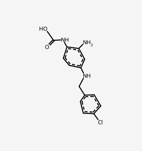 Nc1cc(NCc2ccc(Cl)cc2)ccc1NC(=O)O